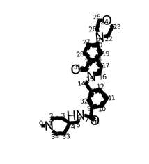 CN1CCC(CNC(=O)c2cccc(Cn3ccc4cc(N5CCOCC5)ccc4c3=O)c2)CC1